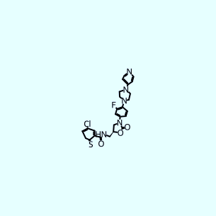 O=C(NC[C@H]1CN(c2ccc(N3CCN(c4ccncc4)CC3)c(F)c2)C(=O)O1)C1=CC(Cl)=CCC1=S